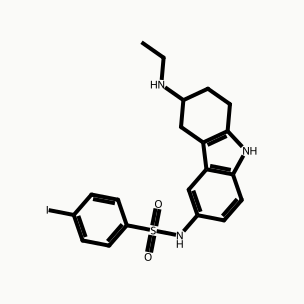 CCNC1CCc2[nH]c3ccc(NS(=O)(=O)c4ccc(I)cc4)cc3c2C1